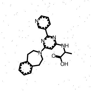 CC(Nc1cc(N2CCc3ccccc3CC2)nc(-c2cccnc2)n1)C(=O)O